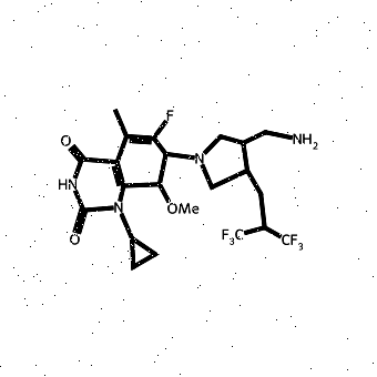 COC1c2c(c(=O)[nH]c(=O)n2C2CC2)C(C)=C(F)C1N1CC(CN)C(CC(C(F)(F)F)C(F)(F)F)C1